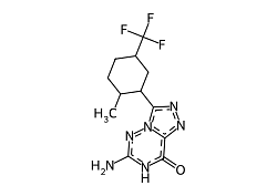 CC1CCC(C(F)(F)F)CC1c1nnc2c(=O)[nH]c(N)nn12